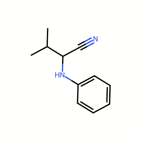 CC(C)C(C#N)Nc1ccccc1